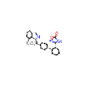 O=C(O)c1cccc2c1C(Cc1ccc(-c3ccccc3-c3noc(=O)[nH]3)cc1)N=C2